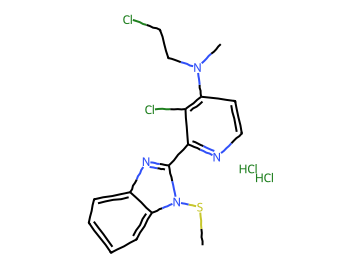 CSn1c(-c2nccc(N(C)CCCl)c2Cl)nc2ccccc21.Cl.Cl